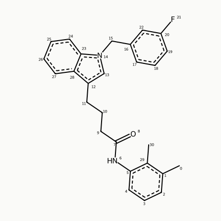 Cc1cccc(NC(=O)CCCc2cn(Cc3cccc(F)c3)c3ccccc23)c1C